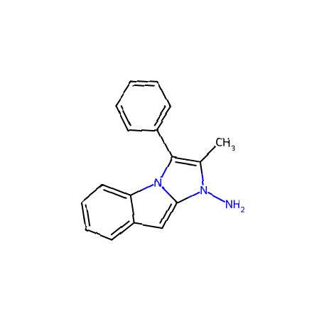 Cc1c(-c2ccccc2)n2c3ccccc3cc2n1N